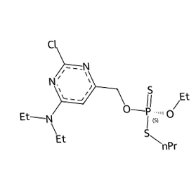 CCCS[P@@](=S)(OCC)OCc1cc(N(CC)CC)nc(Cl)n1